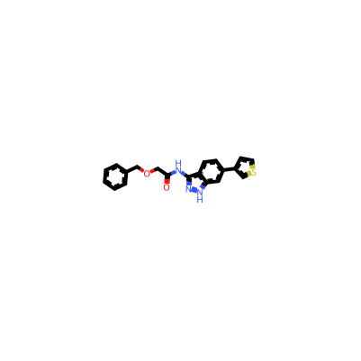 O=C(COCc1ccccc1)Nc1n[nH]c2cc(-c3ccsc3)ccc12